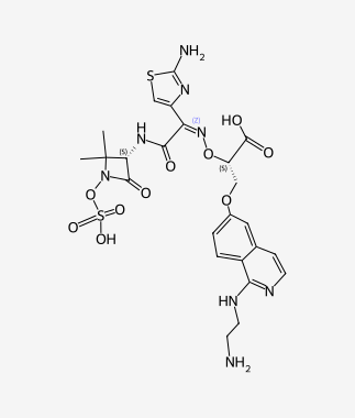 CC1(C)[C@H](NC(=O)/C(=N\O[C@@H](COc2ccc3c(NCCN)nccc3c2)C(=O)O)c2csc(N)n2)C(=O)N1OS(=O)(=O)O